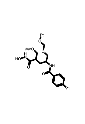 CCOCOCC(CC(COC)C(=O)NO)NC(=O)c1ccc(Cl)cc1